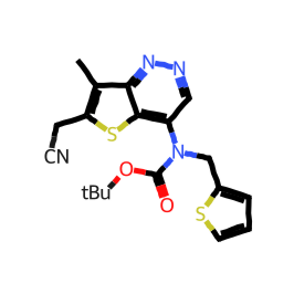 Cc1c(CC#N)sc2c(N(Cc3cccs3)C(=O)OC(C)(C)C)cnnc12